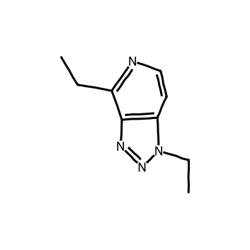 CCc1nccc2c1nnn2CC